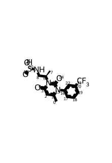 Cc1cc(=O)n([C@H](C)CN[SH](=O)=O)c(=O)n1-c1cccc(C(F)(F)F)c1